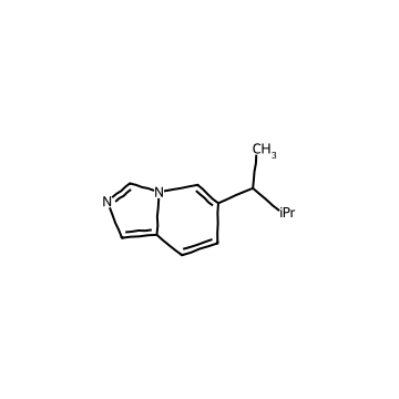 CC(C)C(C)c1ccc2cncn2c1